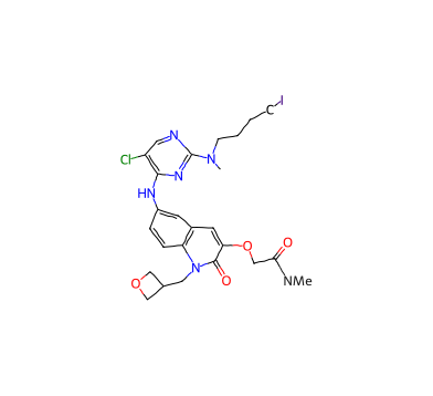 CNC(=O)COc1cc2cc(Nc3nc(N(C)CCCCI)ncc3Cl)ccc2n(CC2COC2)c1=O